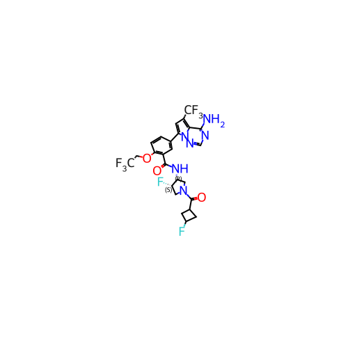 Nc1ncnn2c(-c3ccc(OCC(F)(F)F)c(C(=O)N[C@@H]4CN(C(=O)C5CC(F)C5)C[C@@H]4F)c3)cc(C(F)(F)F)c12